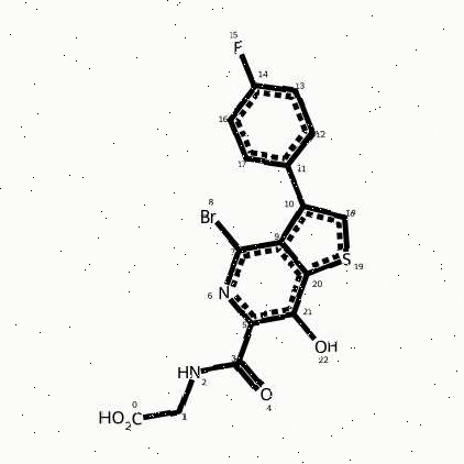 O=C(O)CNC(=O)c1nc(Br)c2c(-c3ccc(F)cc3)csc2c1O